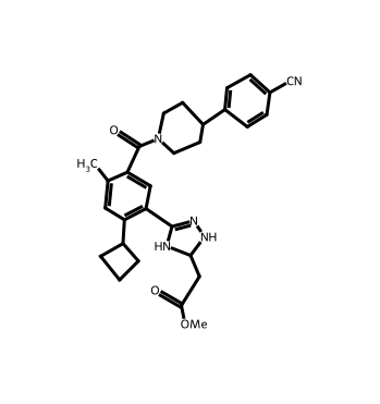 COC(=O)CC1NN=C(c2cc(C(=O)N3CCC(c4ccc(C#N)cc4)CC3)c(C)cc2C2CCC2)N1